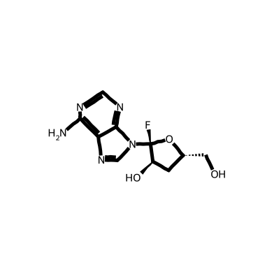 Nc1ncnc2c1ncn2[C@]1(F)O[C@H](CO)C[C@H]1O